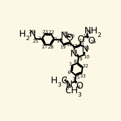 CN(C)C(=O)c1ccc(-c2cnc(OC(N)=O)c(-c3cc(-c4ccc(CN)cc4)no3)n2)cc1